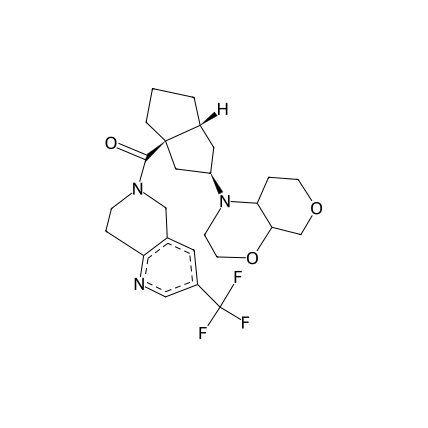 O=C(N1CCc2ncc(C(F)(F)F)cc2C1)[C@@]12CCC[C@@H]1C[C@@H](N1CCOC3COCCC31)C2